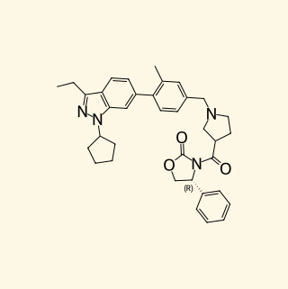 CCc1nn(C2CCCC2)c2cc(-c3ccc(CN4CCC(C(=O)N5C(=O)OC[C@H]5c5ccccc5)C4)cc3C)ccc12